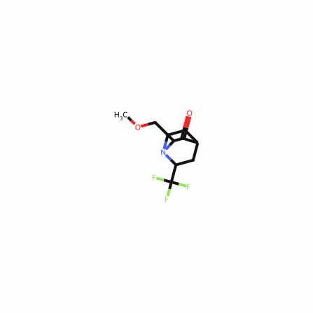 COCC1C(=O)C2CCN1C(C(F)(F)F)C2